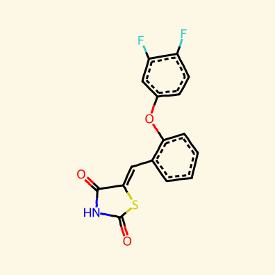 O=C1NC(=O)/C(=C/c2ccccc2Oc2ccc(F)c(F)c2)S1